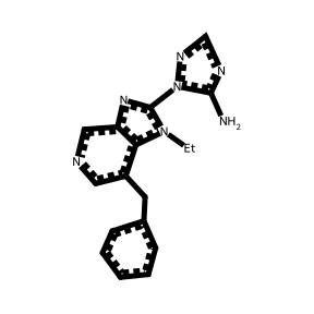 CCn1c(-n2ncnc2N)nc2cncc(Cc3ccccc3)c21